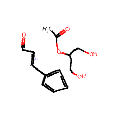 CC(=O)OC(CO)CO.O=C/C=C/c1ccccc1